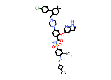 CC1(C)CCC(CN2CCN(c3ccc(C(=O)NS(=O)(=O)c4ccc(NC[C@H]5C[C@H](C#N)C5)c([N+](=O)[O-])c4)c(Oc4cnc5[nH]ccc5c4)c3)CC2)=C(c2ccc(Cl)cc2)C1